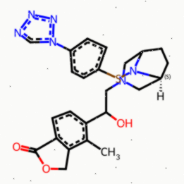 Cc1c(C(O)CN2CC3CC[C@@H](C2)N3Sc2ccc(-n3cnnn3)cc2)ccc2c1COC2=O